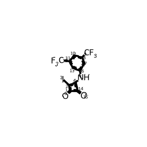 O=c1c(I)c(Nc2cc(C(F)(F)F)cc(C(F)(F)F)c2)c1=O